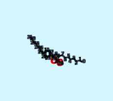 CCCCCCCCC1CC(c2ccc(CCCCCCC)cc2)OC1=O